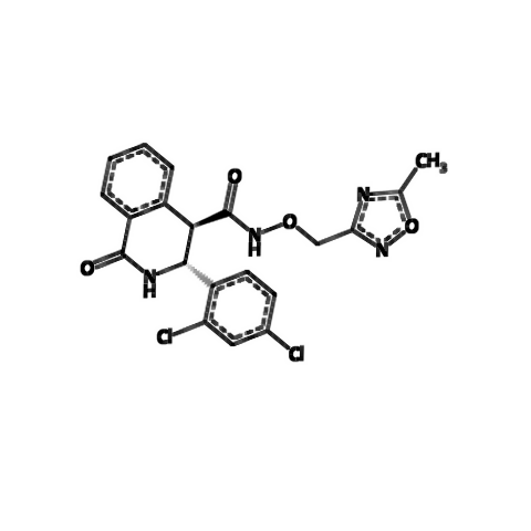 Cc1nc(CONC(=O)[C@@H]2c3ccccc3C(=O)N[C@H]2c2ccc(Cl)cc2Cl)no1